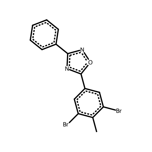 Cc1c(Br)cc(-c2nc(-c3ccccc3)no2)cc1Br